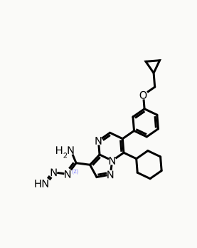 N=N/N=C(\N)c1cnn2c(C3CCCCC3)c(-c3cccc(OCC4CC4)c3)cnc12